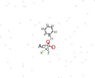 CC(=O)C(C)(F)C(=O)OCc1ccccc1